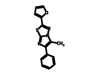 Cc1c(-c2ccccc2)nc2sc(-c3ccco3)nn12